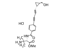 COC(=O)[C@@H](NC(=O)c1ccc(C#CC#C[C@@H]2C[C@H]2CO)cc1)C(C)(C)N.Cl